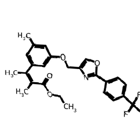 CCOC(=O)/C(C)=C(/C)c1cc(C)cc(OCc2coc(-c3ccc(C(F)(F)F)cc3)n2)c1